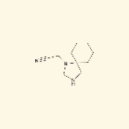 N#CCN1CNCC12CCCCC2